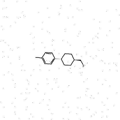 Cc1ccc([C@H]2CC[C@H](CF)CC2)cc1